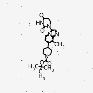 Cc1c(C2CCN(C(=O)OC(C)(C)C)CC2)ccn2c(N3CCC(=O)NC3=O)cnc12